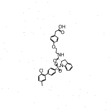 Cc1ccc(Cl)c(-c2ccc(S(=O)(=O)N3c4ccccc4C[C@H]3C(=O)NCCOc3ccc(CC(=O)O)cc3)cc2)c1